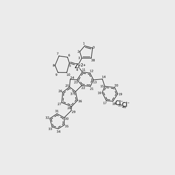 C1=CC[C]([Zr+2](=[C]2CCCCC2)[c]2cc(Cc3ccccc3)cc3c2Cc2ccc(Cc4ccccc4)cc2-3)=C1.[Cl-].[Cl-]